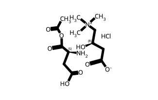 CC(=O)OC(=O)[C@@H](N)CC(=O)O.C[N+](C)(C)C[C@H](O)CC(=O)[O-].Cl